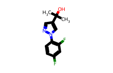 CC(C)(O)c1cnn(-c2ccc(F)cc2F)c1